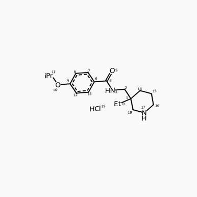 CCC1(CNC(=O)c2ccc(OC(C)C)cc2)CCCNC1.Cl